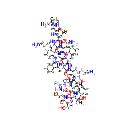 CCN(CC(=O)O)NC(=O)[C@H](CS)NC(=O)[C@H](CO)NC(=O)[C@@H](NC(=O)[C@H](Cc1ccccc1)NC(=O)[C@@H](NC(=O)[C@H](CCCCN)NC(=O)[C@H](Cc1c[nH]c2ccccc12)NC(=O)[C@H](Cc1ccccc1)NC(=O)[C@H](Cc1ccccc1)NC(=O)[C@H](CC(N)=O)NC(=O)[C@H](CCCCN)NC(=O)[C@H](CS)NC(=O)CNC(C)N)C(C)O)C(C)O